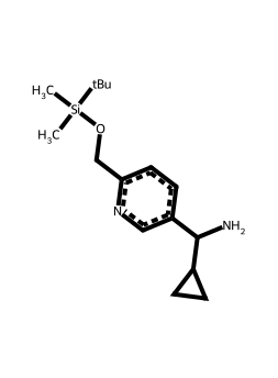 CC(C)(C)[Si](C)(C)OCc1ccc(C(N)C2CC2)cn1